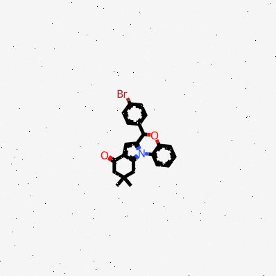 CC1(C)CC(=O)c2cc3n(c2C1)-c1ccccc1OC3c1ccc(Br)cc1